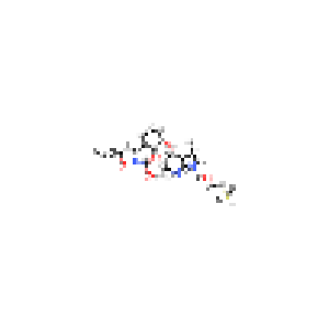 COC(=O)CC(NC(=O)OC(C)(C)C)c1cccc(Oc2ccnc3c2c(C)cn3COCCS(C)(C)C)c1